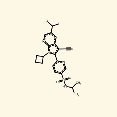 CC(C)NS(=O)(=O)c1ccc(-c2c(C#N)c3cc(C(F)F)cnc3n2C2CCC2)nc1